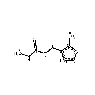 CNC(=O)OCc1[nH]cnc1C